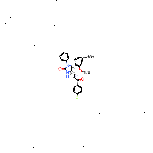 CCCCOc1cc(OC)ccc1[C@@H]1[C@H](/C=C/C(=O)c2ccc(F)cc2)NC(=O)N1c1ccccc1